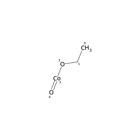 CC[O][Co]=[O]